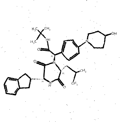 CC(C)C[C@@H]1C(=O)N[C@H](C2Cc3ccccc3C2)C(=O)N1[C@@H](C(=O)NC(C)(C)C)c1ccc(N2CCC(O)CC2)cc1